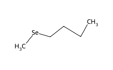 CCCC[Se]C